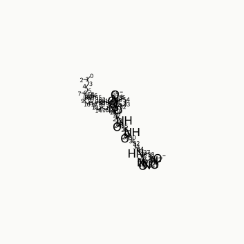 CC(C)CCCC(C)[C@H]1CCC2C3CC=C4CC(N(CCCNC(=O)CCNC(=O)CCCCCNc5ccc([N+](=O)[O-])c6nonc56)S(=O)(=O)c5ccccc5[N+](=O)[O-])CC[C@]4(C)C3CC[C@@]21C